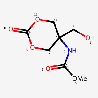 COC(=O)NC1(CO)COC(=O)OC1